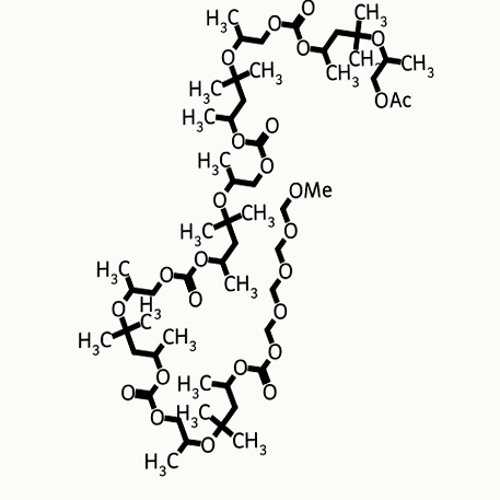 COCOCOCOCOC(=O)OC(C)CC(C)(C)OC(C)COC(=O)OC(C)CC(C)(C)OC(C)COC(=O)OC(C)CC(C)(C)OC(C)COC(=O)OC(C)CC(C)(C)OC(C)COC(=O)OC(C)CC(C)(C)OC(C)COC(C)=O